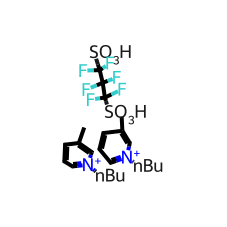 CCCC[n+]1cccc(C)c1.CCCC[n+]1cccc(C)c1.O=S(=O)(O)C(F)(F)C(F)(F)C(F)(F)S(=O)(=O)O